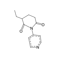 CCC1CCC(=O)N(c2ccncc2)C1=O